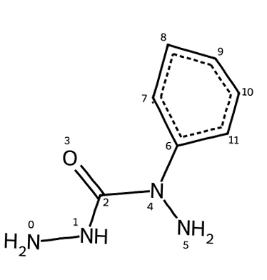 NNC(=O)N(N)c1[c]cccc1